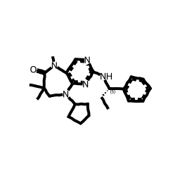 CC[C@H](Nc1ncc2c(n1)N(C1CCCC1)CC(C)(C)C(=O)N2C)c1ccccc1